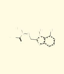 CC(=O)N(C)NCc1nc2cccc(Cl)c2n1C